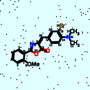 COc1ccccc1C1=NC(=Cc2ccc(N(C)C)c(Br)c2)C(=O)O1